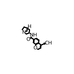 C#CC1=CCOc2cc(C(=O)N[C@@H]3C[C@@H]4CCN(C4)C3)ccc21